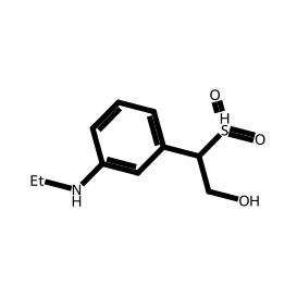 CCNc1cccc(C(CO)[SH](=O)=O)c1